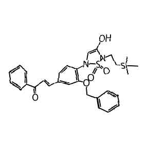 C[Si](C)(C)CCN1C(O)=CN(c2ccc(C=CC(=O)c3ccccc3)cc2OCc2ccccc2)S1(=O)=O